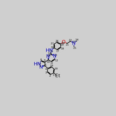 CCc1ccc(-c2n[nH]cc2-c2ccnc(Nc3ccc(OCCN(C)C)cc3)n2)cc1